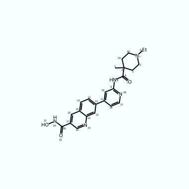 CCN1CCC(C)(C(=O)Nc2cc(-c3ccc4cc(C(=O)NO)cnc4c3)ccn2)CC1